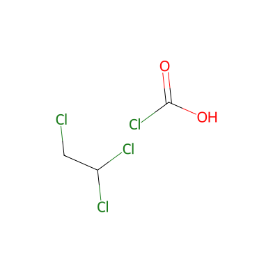 ClCC(Cl)Cl.O=C(O)Cl